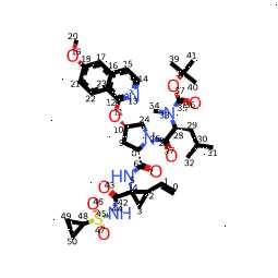 C=CC1C[C@]1(NC(=O)[C@@H]1C[C@@H](Oc2nccc3cc(OC)ccc23)CN1C(=O)[C@H](CC(C)C)N(C)C(=O)OC(C)(C)C)C(=O)NS(=O)(=O)C1CC1